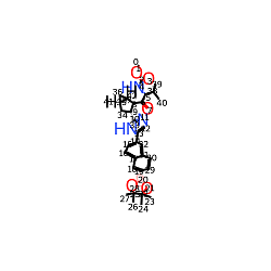 COC(=O)N[C@H](C(=O)C1[C@H](c2ncc(-c3ccc4cc(B5OC(C)(C)C(C)(C)O5)ccc4c3)[nH]2)C[C@H]2C[C@@H]12)C(C)C